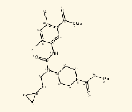 COC(=O)c1cc(NC(=O)N(CCC2CC2)C2CCN(C(=O)OC(C)(C)C)CC2)c(F)cc1F